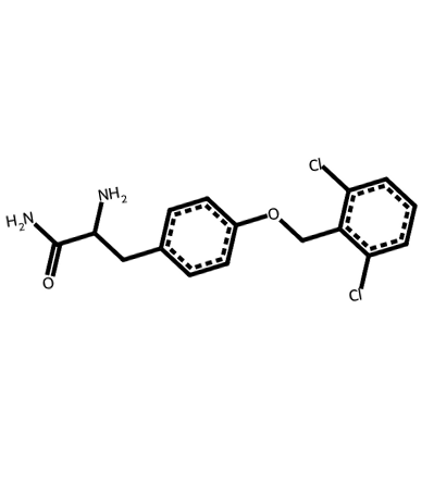 NC(=O)C(N)Cc1ccc(OCc2c(Cl)cccc2Cl)cc1